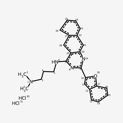 CN(C)CCCNc1nc(-c2cc3ccccc3o2)nc2cc3ccccc3cc12.Cl.Cl